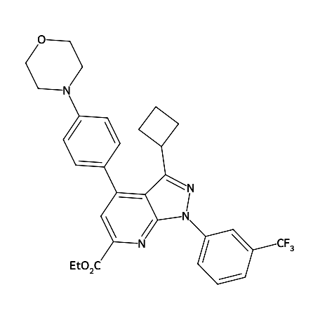 CCOC(=O)c1cc(-c2ccc(N3CCOCC3)cc2)c2c(C3CCC3)nn(-c3cccc(C(F)(F)F)c3)c2n1